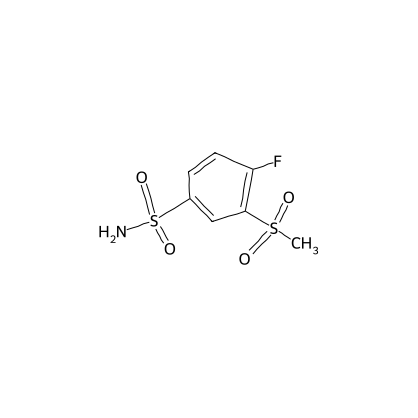 CS(=O)(=O)c1cc(S(N)(=O)=O)ccc1F